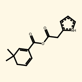 CC1(C)C=C(C(=O)OC(=O)Cc2ccc[nH]2)C=CC1